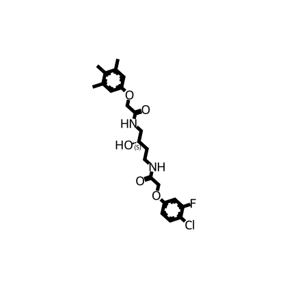 Cc1cc(OCC(=O)NC[C@@H](O)CCNC(=O)COc2ccc(Cl)c(F)c2)cc(C)c1C